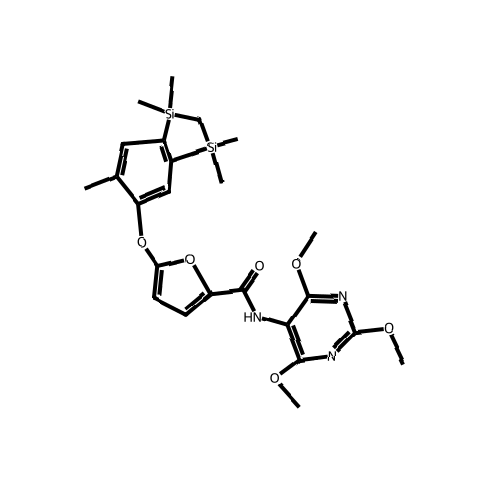 COc1nc(OC)c(NC(=O)c2ccc(Oc3cc4c(cc3C)[Si](C)(C)C[Si]4(C)C)o2)c(OC)n1